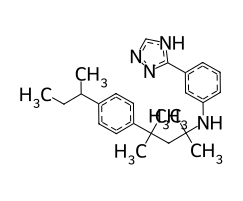 CCC(C)c1ccc(C(C)(C)CC(C)(C)Nc2cccc(-c3nnc[nH]3)c2)cc1